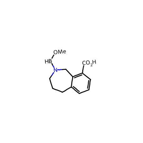 COBN1CCCc2cccc(C(=O)O)c2C1